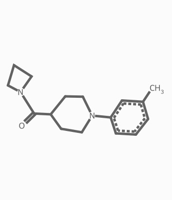 Cc1cccc(N2CCC(C(=O)N3CCC3)CC2)c1